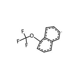 FC(F)(F)Oc1cccc2c[c]ccc12